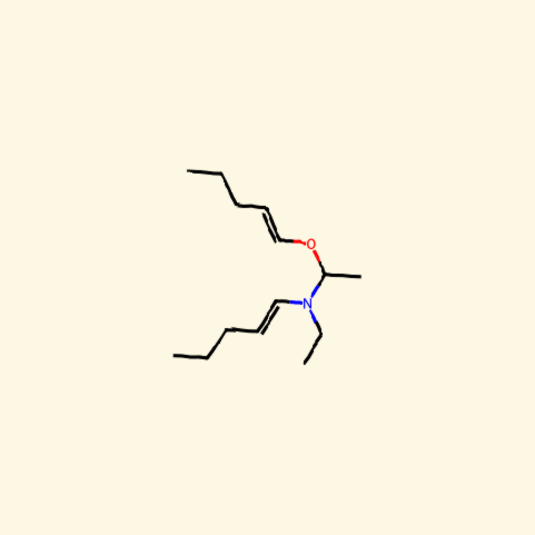 CCCC=COC(C)N(C=CCCC)CC